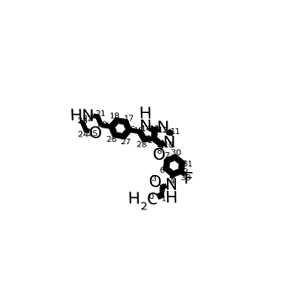 C=CC(=O)Nc1cc(Oc2ncnc3[nH]c(-c4ccc(C5CNCCO5)cc4)cc23)ccc1F